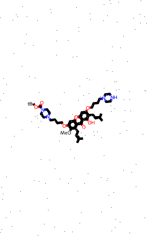 COc1c(OCCCCN2CCN(C(=O)OC(C)(C)C)CC2)cc2oc3cc(OCCCCN4CCNCC4)c(CC=C(C)C)c(O)c3c(=O)c2c1CC=C(C)C